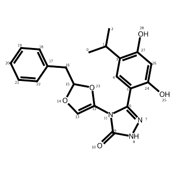 CC(C)c1cc(-c2n[nH]c(=O)n2C2=COC(Cc3ccccc3)O2)c(O)cc1O